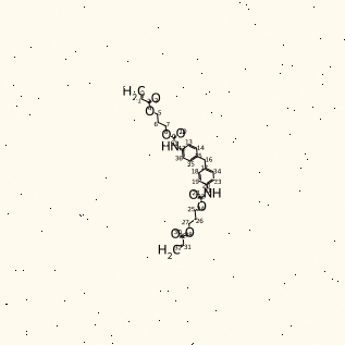 C=CC(=O)OCCCOC(=O)Nc1ccc(Cc2ccc(NC(=O)OCCCOC(=O)C=C)cc2)cc1